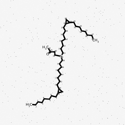 CCCCCCCCC1CC1CCCCCCCCN(CCCCCCCCC1CC1CCCCCCCC)CCC(C)=O